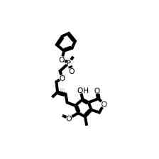 COc1c(C)c2c(c(O)c1C/C=C(\C)COCP(C)(=O)Oc1ccccc1)C(=O)OC2